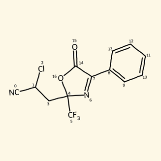 N#CC(Cl)CC1(C(F)(F)F)N=C(c2ccccc2)C(=O)O1